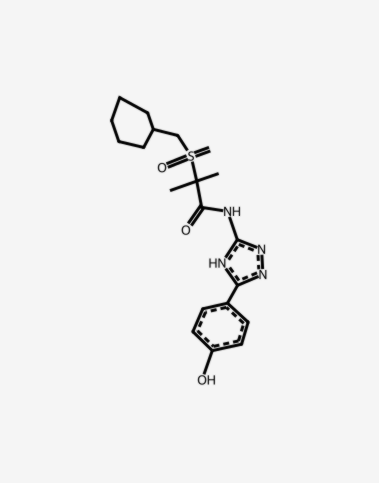 C=S(=O)(CC1CCCCC1)C(C)(C)C(=O)Nc1nnc(-c2ccc(O)cc2)[nH]1